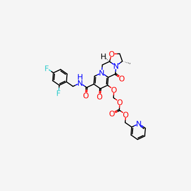 C[C@H]1CO[C@@H]2Cn3cc(C(=O)NCc4ccc(F)cc4F)c(=O)c(OCOC(=O)OCc4ccccn4)c3C(=O)N12